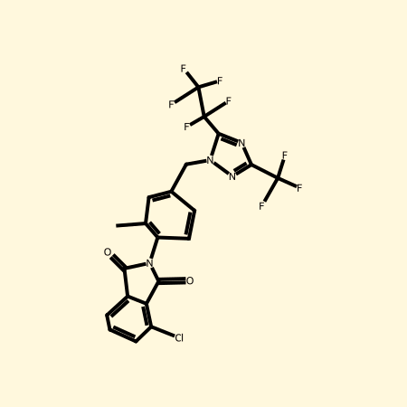 Cc1cc(Cn2nc(C(F)(F)F)nc2C(F)(F)C(F)(F)F)ccc1N1C(=O)c2cccc(Cl)c2C1=O